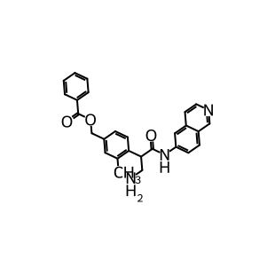 Cc1cc(COC(=O)c2ccccc2)ccc1C(CN)C(=O)Nc1ccc2cnccc2c1